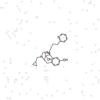 Oc1ccc2c(c1)C13CCN(CC4CC4)C(C2)C1(O)CCCN(CCc1ccccn1)C3